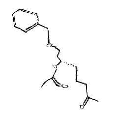 CC(=O)CCC[C@@H](COCc1ccccc1)OC(C)=O